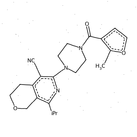 Cc1occc1C(=O)N1CCN(c2nc(C(C)C)c3c(c2C#N)CCOC3)CC1